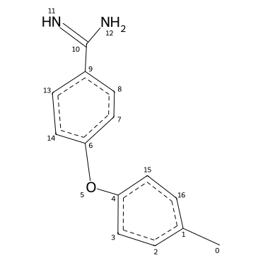 Cc1ccc(Oc2ccc(C(=N)N)cc2)cc1